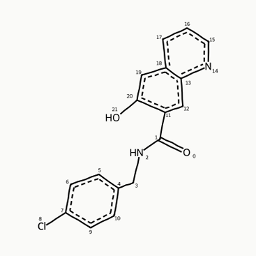 O=C(NCc1ccc(Cl)cc1)c1cc2ncccc2cc1O